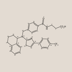 O=C(O)CCNC(=O)c1ccc(CN(c2nc(-c3ccc(C(F)(F)F)cc3)cs2)C2CCCc3ccccc32)cc1